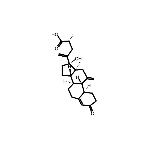 C=C1C[C@@]2(C)[C@@H](CC[C@@]2(O)C(=C)C[C@@H](C)C(=O)O)[C@@H]2CCC3=CC(=O)CC[C@@H]3[C@@H]12